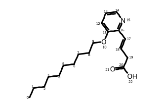 CCCCCCCCCCOc1cccnc1C=CCC(=O)O